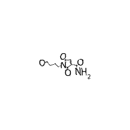 NC(=O)C1=CC(=O)N(CCCC=O)C1=O